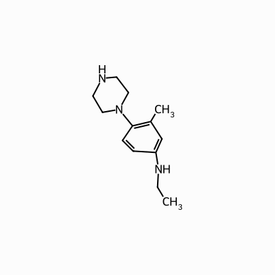 CCNc1ccc(N2CCNCC2)c(C)c1